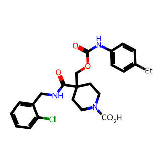 CCc1ccc(NC(=O)OCC2(C(=O)NCc3ccccc3Cl)CCN(C(=O)O)CC2)cc1